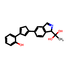 CC(O)(O)C1N=Cc2cc(C3=CC(c4ccccc4O)=CC3)ccc21